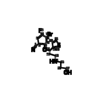 N#Cc1cc(F)c(Br)cc1OC(CCNCCCO)c1ccsc1